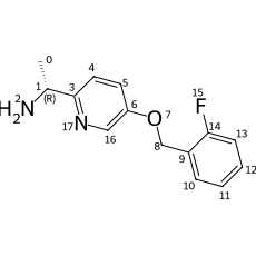 C[C@@H](N)c1ccc(OCc2ccccc2F)cn1